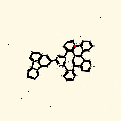 c1ccc(-c2nc(-c3cc4c5c(cccc5c3)-c3ccccc3-4)nc(-c3ccccc3-c3cc4ccc5ccccc5c4c4cnccc34)n2)cc1